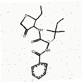 CCC1OCC(=O)C1NC(=O)[C@H](CC(C)(C)CC)NC(=O)c1ccccc1